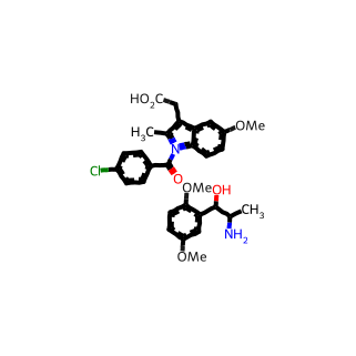 COc1ccc(OC)c(C(O)C(C)N)c1.COc1ccc2c(c1)c(CC(=O)O)c(C)n2C(=O)c1ccc(Cl)cc1